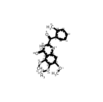 COc1cc2nc(C(=O)c3ccccc3C)[nH]c(=O)c2c(OC)c1OC